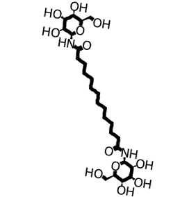 O=C(CCCCCCCCCCCCC(=O)N[C@@H]1O[C@H](CO)[C@@H](O)[C@H](O)[C@H]1O)N[C@@H]1O[C@H](CO)[C@@H](O)[C@H](O)[C@H]1O